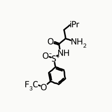 CC(C)CC(N)C(=O)N[S+]([O-])c1cccc(OC(F)(F)F)c1